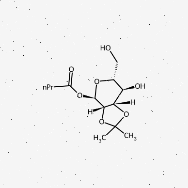 CCCC(=O)O[C@H]1O[C@H](CO)[C@@H](O)[C@@H]2OC(C)(C)O[C@H]12